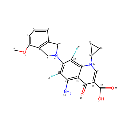 COc1cccc2c1CN(c1c(F)c(N)c3c(=O)c(C(=O)O)cn(C4CC4)c3c1F)C2